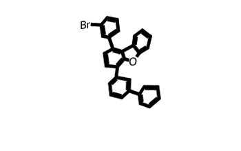 Brc1cccc(-c2ccc(-c3cccc(-c4ccccc4)c3)c3oc4ccccc4c23)c1